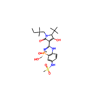 CCC(C)(C)CN1C(=O)C(C2=N[P@@](=O)(CO)c3cc(NS(C)(=O)=O)ccc3N2)=C(O)C1C(C)(C)C